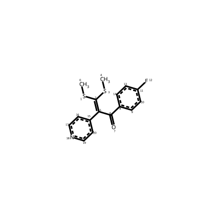 CSC(SC)=C(C(=O)c1ccc(F)cc1)c1ccncc1